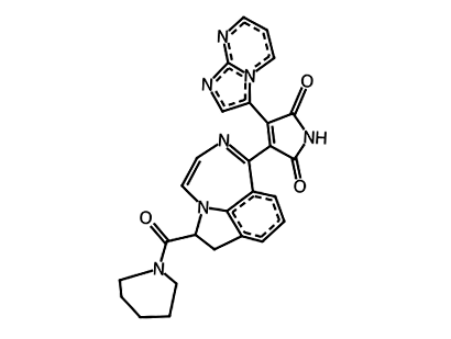 O=C1NC(=O)C(c2cnc3ncccn23)=C1C1=NC=CN2c3c(cccc31)CC2C(=O)N1CCCCC1